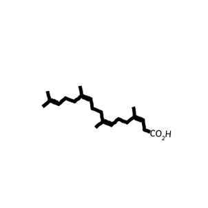 CC(C)=CCCC(C)=CCCC(C)=CCCC(C)=CCC(=O)O